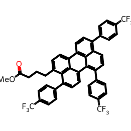 COC(=O)CCCc1ccc2c3ccc(-c4ccc(C(F)(F)F)cc4)c4ccc(-c5ccc(C(F)(F)F)cc5)c(c5ccc(-c6ccc(C(F)(F)F)cc6)c1c25)c43